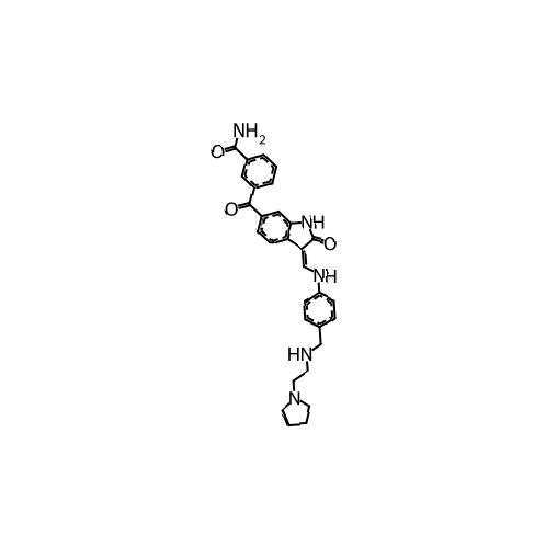 NC(=O)c1cccc(C(=O)c2ccc3c(c2)NC(=O)C3=CNc2ccc(CNCCN3CCCC3)cc2)c1